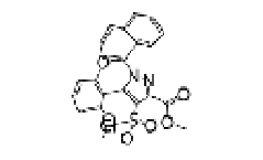 COC(=O)c1nn(-c2cccc3ccccc23)c(-c2c(OC)cccc2OC)c1S(=O)(=O)Cl